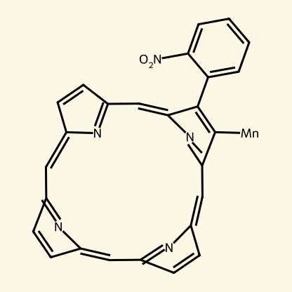 O=[N+]([O-])c1ccccc1C1=[C]([Mn])C2=NC1=CC1=NC(=CC3=NC(=CC4=NC(=C2)C=C4)C=C3)C=C1